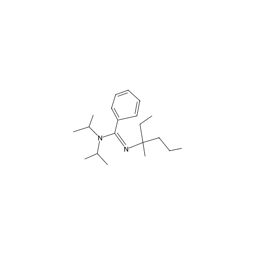 CCCC(C)(CC)/N=C(\c1ccccc1)N(C(C)C)C(C)C